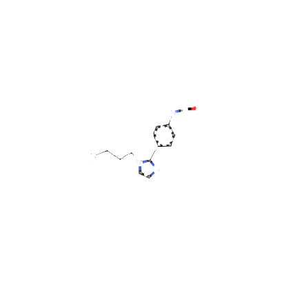 NCCCn1ccnc1-c1ccc(N=C=O)cc1